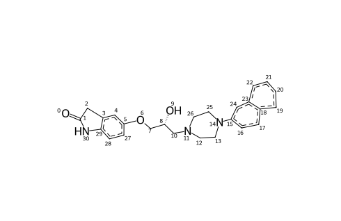 O=C1Cc2cc(OC[C@H](O)CN3CCN(c4ccc5ccccc5c4)CC3)ccc2N1